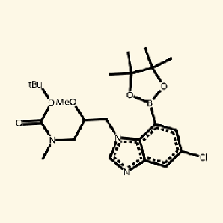 COC(CN(C)C(=O)OC(C)(C)C)Cn1cnc2cc(Cl)cc(B3OC(C)(C)C(C)(C)O3)c21